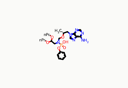 CCCOC(CN(CO[C@H](C)Cn1cnc2c(N)ncnc21)P(=O)(O)Oc1ccccc1)OCCC